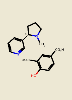 CN1CCC[C@H]1c1cccnc1.COc1cc(C(=O)O)ccc1O